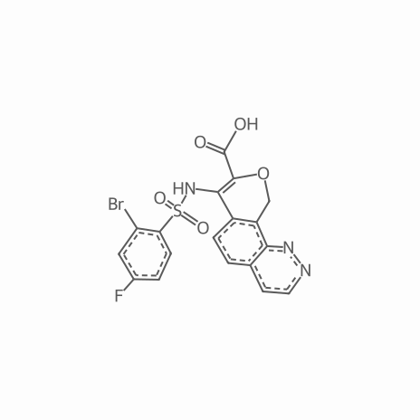 O=C(O)C1=C(NS(=O)(=O)c2ccc(F)cc2Br)c2ccc3ccnnc3c2CO1